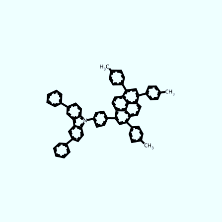 Cc1ccc(-c2cc(-c3ccc(C)cc3)c3ccc4c(-c5ccc(-n6c7ccc(-c8ccccc8)cc7c7cc(-c8ccccc8)ccc76)cc5)cc(-c5ccc(C)cc5)c5ccc2c3c54)cc1